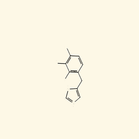 Clc1ccc(Cc2cnc[nH]2)c(Cl)c1Cl